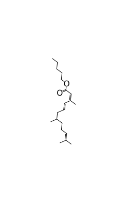 CCCCCOC(=O)C=C(C)C=CCC(C)CCC=C(C)C